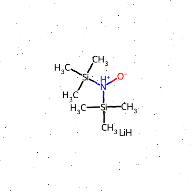 C[Si](C)(C)[NH+]([O-])[Si](C)(C)C.[LiH]